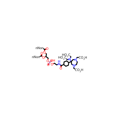 CCCCCCCCCC(=O)OCC(COP(=O)(O)OCCNC(=O)C1CCC(C2(N(CC(=O)O)CC(=O)O)CN(CC(=O)O)CCN(CC(=O)O)C2)CC1)OC(=O)CCCCCCCCC